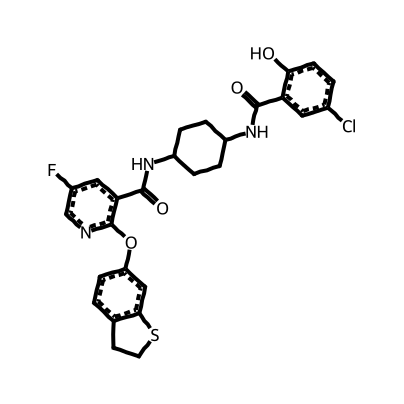 O=C(NC1CCC(NC(=O)c2cc(F)cnc2Oc2ccc3c(c2)SCC3)CC1)c1cc(Cl)ccc1O